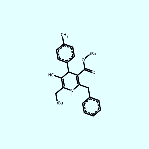 Cc1ccc(C2C(C#N)=C(CC(C)(C)C)NC(Cc3ccccc3)=C2C(=O)OC(C)(C)C)cc1